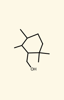 CC1CCC(C)(C)C(CO)C1C